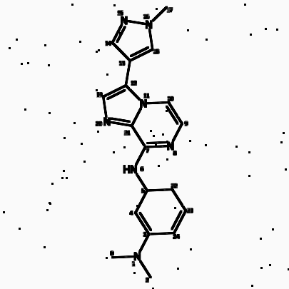 CN(C)C1=CC(Nc2nccn3c(-c4cnn(C)c4)cnc23)CC=C1